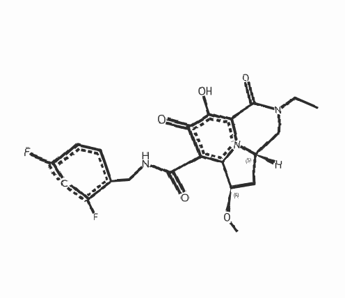 CCN1C[C@@H]2C[C@@H](OC)c3c(C(=O)NCc4ccc(F)cc4F)c(=O)c(O)c(n32)C1=O